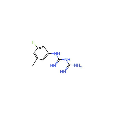 Cc1cc(F)cc(NC(=N)NC(=N)N)c1